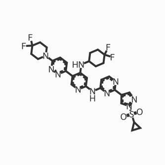 O=S(=O)(C1CC1)n1cc(-c2nccc(Nc3cc(NC4CCC(F)(F)CC4)c(-c4ccc(N5CCC(F)(F)CC5)nn4)cn3)n2)cn1